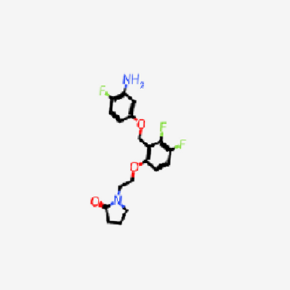 Nc1cc(OCc2c(OCCN3CCCC3=O)ccc(F)c2F)ccc1F